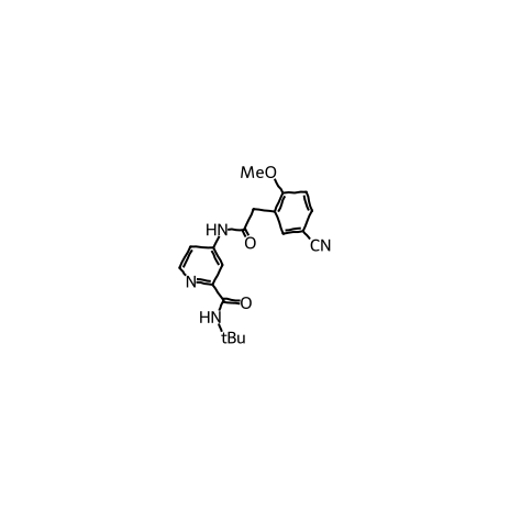 COc1ccc(C#N)cc1CC(=O)Nc1ccnc(C(=O)NC(C)(C)C)c1